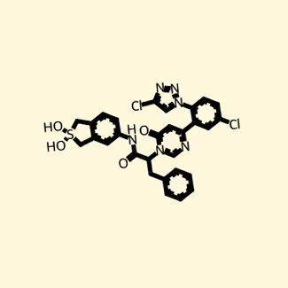 O=C(Nc1ccc2c(c1)CS(O)(O)C2)C(Cc1ccccc1)n1cnc(-c2cc(Cl)ccc2-n2cc(Cl)nn2)cc1=O